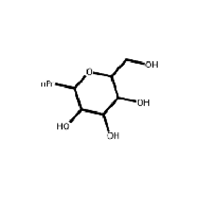 CCCC1OC(CO)C(O)C(O)C1O